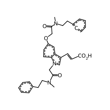 CN(CCc1ccccc1)C(=O)COc1ccc2c(c1)c(C=CC(=O)O)cn2CC(=O)N(C)CCc1ccccc1